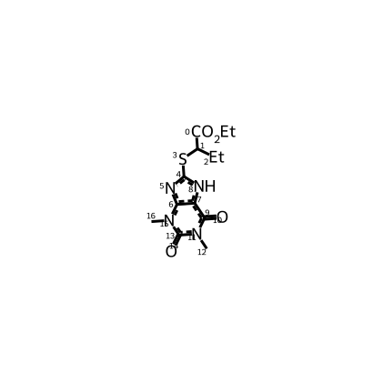 CCOC(=O)C(CC)Sc1nc2c([nH]1)c(=O)n(C)c(=O)n2C